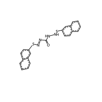 O=C(/N=N/Sc1ccc2ccccc2c1)NNSc1ccc2ccccc2c1